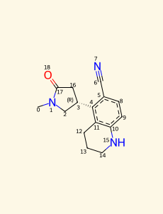 CN1C[C@@H](c2c(C#N)ccc3c2CCCN3)CC1=O